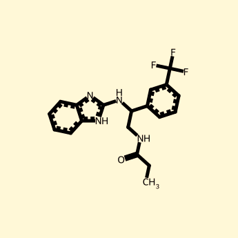 CCC(=O)NCC(Nc1nc2ccccc2[nH]1)c1cccc(C(F)(F)F)c1